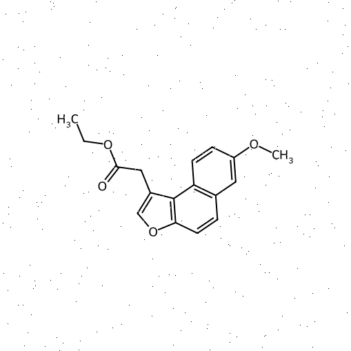 CCOC(=O)Cc1coc2ccc3cc(OC)ccc3c12